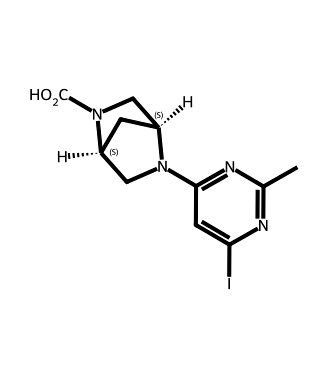 Cc1nc(I)cc(N2C[C@@H]3C[C@H]2CN3C(=O)O)n1